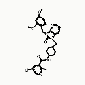 COc1ccc(Cn2c(=O)n(CC3CCC(NC(=O)c4cc(Cl)cnc4C)CC3)c3cccnc32)c(OC)c1